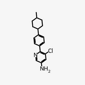 CC1CCC(c2ccc(-c3ncc(N)cc3Cl)cc2)CC1